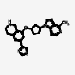 Cc1ncnc2c1ccn2C1CCC(Oc2cc(-c3cscn3)cc3c2CNCC3)C1